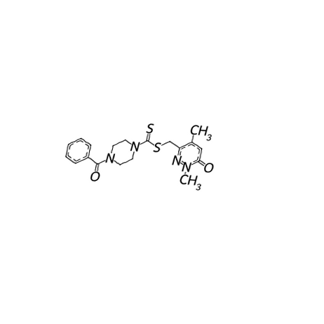 Cc1cc(=O)n(C)nc1CSC(=S)N1CCN(C(=O)c2ccccc2)CC1